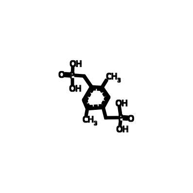 Cc1cc(CP(=O)(O)O)c(C)cc1CP(=O)(O)O